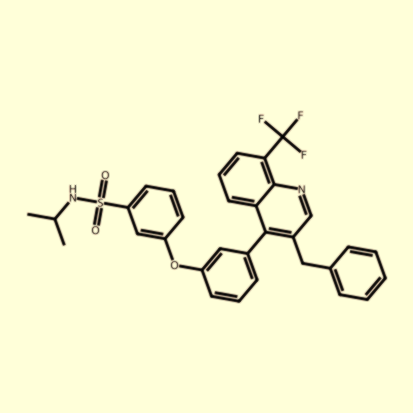 CC(C)NS(=O)(=O)c1cccc(Oc2cccc(-c3c(Cc4ccccc4)cnc4c(C(F)(F)F)cccc34)c2)c1